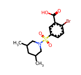 CC1CC(C)CN(S(=O)(=O)c2ccc(Br)c(C(=O)O)c2)C1